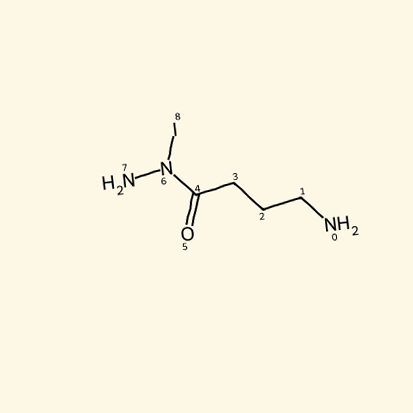 NCCCC(=O)N(N)I